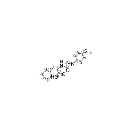 CSc1ccc(/N=N/C(=O)N[C@@H](Cc2ccccc2)C(=O)O)cc1